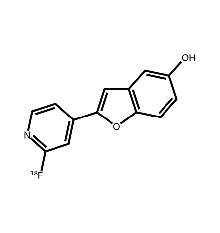 Oc1ccc2oc(-c3ccnc([18F])c3)cc2c1